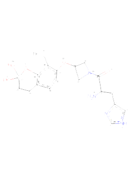 NC(Cc1c[nH]cn1)C(=O)N1CC(Oc2ccc3c(c2C(=O)O)O[B-](O)(O)CC3)C1